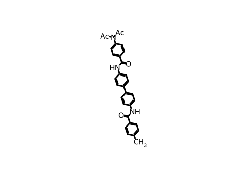 CC(=O)N(C(C)=O)c1ccc(C(=O)Nc2ccc(-c3ccc(NC(=O)c4ccc(C)cc4)cc3)cc2)cc1